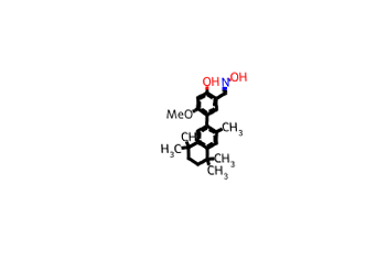 COc1cc(O)c(/C=N/O)cc1-c1cc2c(cc1C)C(C)(C)CCC2(C)C